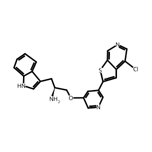 N[C@H](COc1cncc(-c2cc3c(Cl)cncc3s2)c1)Cc1c[nH]c2ccccc12